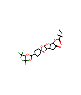 CCC(C)(C)C(=O)OC1C(=O)CC2C3OC4(CCC(C(=O)OC(C(F)(F)F)C(F)(F)F)CC4)OC3OC12